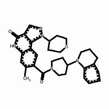 Cc1cc2[nH]c(=O)c3cnn(C4CCOCC4)c3c2cc1C(=O)N1CCC(N2CCCc3ccccc32)CC1